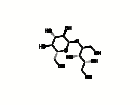 OC[C@@H](O)[C@H](O)[C@H](CO)O[C@H]1O[C@H](CO)[C@@H](O)[C@H](O)[C@H]1O